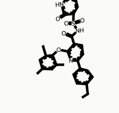 CCc1ccc(-c2ccc(C(=O)NS(=O)(=O)c3ccc[nH]c3=O)c(Oc3c(C)cc(C)cc3C)n2)cc1